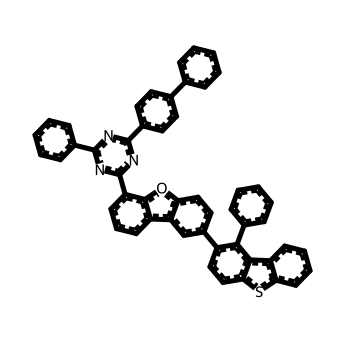 c1ccc(-c2ccc(-c3nc(-c4ccccc4)nc(-c4cccc5c4oc4ccc(-c6ccc7sc8ccccc8c7c6-c6ccccc6)cc45)n3)cc2)cc1